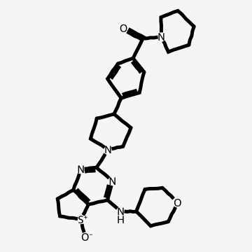 O=C(c1ccc(C2CCN(c3nc4c(c(NC5CCOCC5)n3)[S+]([O-])CC4)CC2)cc1)N1CCCCC1